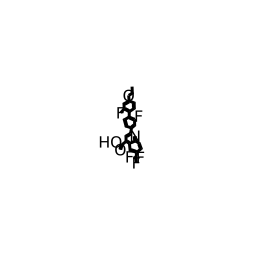 CCOc1ccc(-c2ccc(-c3cc(C(=O)O)c4cc(C(F)(F)F)ccc4n3)cc2F)c(F)c1